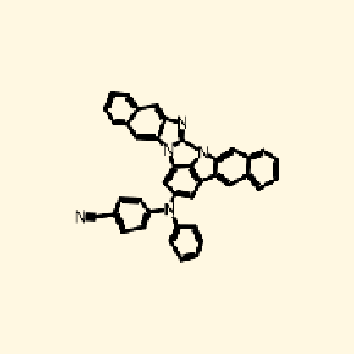 N#Cc1ccc(N(c2ccccc2)c2cc3c4cc5ccccc5cc4n4c3c(c2)n2c3cc5ccccc5cc3nc24)cc1